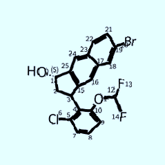 O[C@H]1CC(c2c(Cl)cccc2OC(F)F)c2cc3cc(Br)ccc3cc21